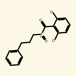 O=C(c1c(Cl)cccc1Cl)[PH](=O)CCCc1ccccc1